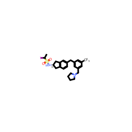 CC(I)S(=O)(=O)N[C@H]1Cc2ccc(Cc3cc(CN4CCCC4)cc(C(F)(F)F)c3)cc2C1